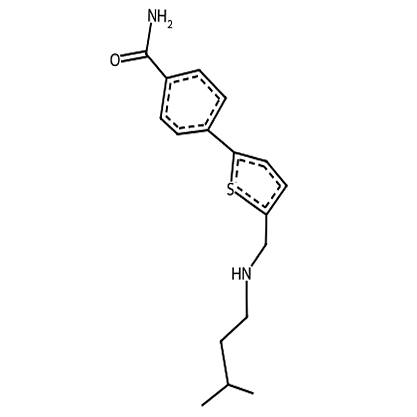 CC(C)CCNCc1ccc(-c2ccc(C(N)=O)cc2)s1